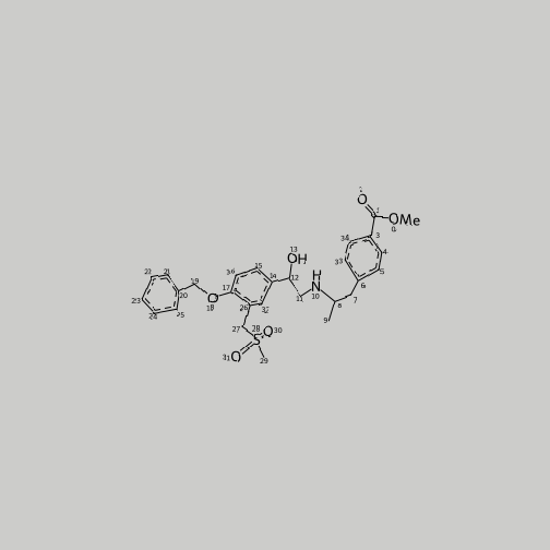 COC(=O)c1ccc(CC(C)NCC(O)c2ccc(OCc3ccccc3)c(CS(C)(=O)=O)c2)cc1